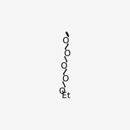 [CH2]COCCOCCOCCOCCOC=C